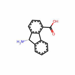 N[C@H]1c2ccccc2-c2c(C(=O)O)cccc21